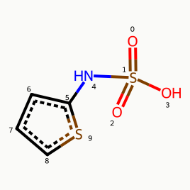 O=S(=O)(O)Nc1cccs1